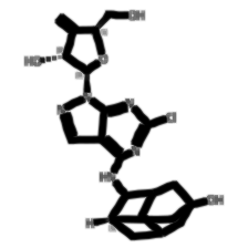 C=C1[C@@H](O)[C@H](n2ncc3c(NC4C5CC6C[C@H]4CC(O)(C6)C5)nc(Cl)nc32)O[C@@H]1CO